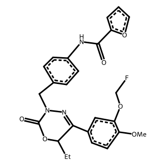 CCC1OC(=O)N(Cc2ccc(NC(=O)c3ccco3)cc2)N=C1c1ccc(OC)c(OCF)c1